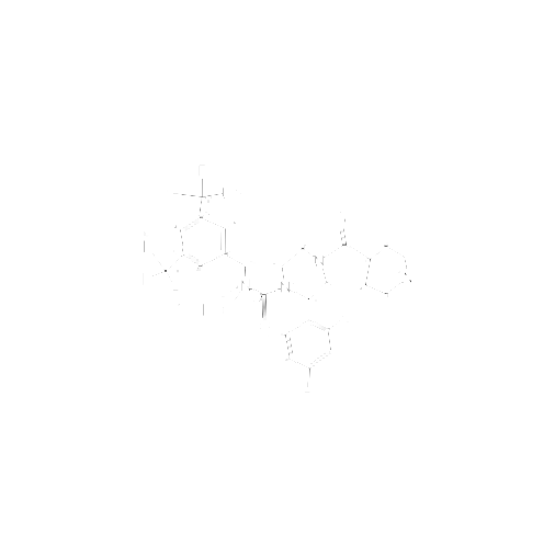 Cc1cc(F)ccc1[C@H]1CN(C(=O)C2CCNCC2)CCN1C(=O)N(C)Cc1cc(C(F)(F)F)cc(C(F)(F)F)c1